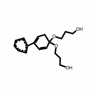 OCCCOC1(OCCCO)C=CC(c2ccccc2)=CC1